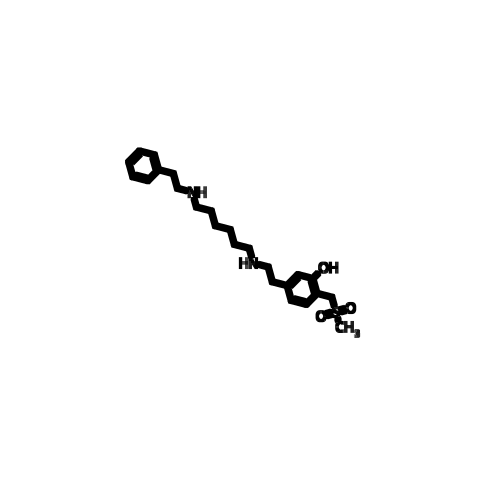 CS(=O)(=O)Cc1ccc(CCNCCCCCCNCCc2ccccc2)cc1O